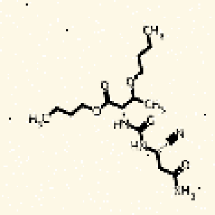 CCCCOC(=O)[C@@H](NC(=O)N[C@H](C#N)CC(N)=O)C(C)OCCCC